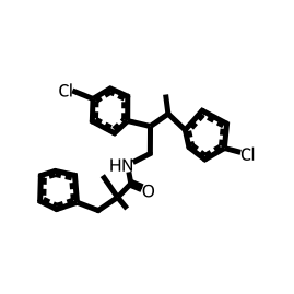 CC(c1ccc(Cl)cc1)C(CNC(=O)C(C)(C)Cc1ccccc1)c1ccc(Cl)cc1